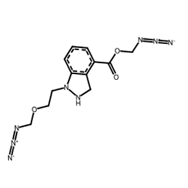 [N-]=[N+]=NCOCCN1NCc2c(C(=O)OCN=[N+]=[N-])cccc21